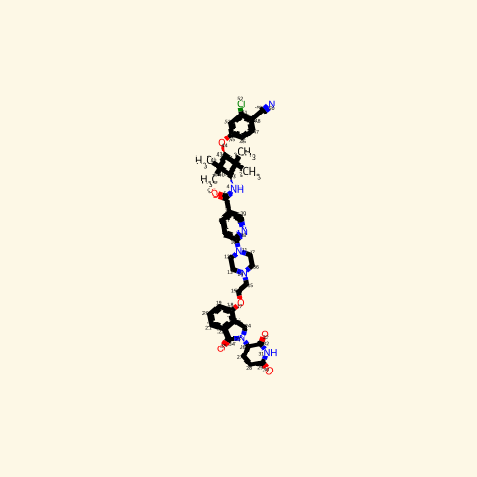 CC1(C)[C@H](NC(=O)c2ccc(N3CCN(CCOc4cccc5c4CN(C4CCC(=O)NC4=O)C5=O)CC3)nc2)C(C)(C)[C@H]1Oc1ccc(C#N)c(Cl)c1